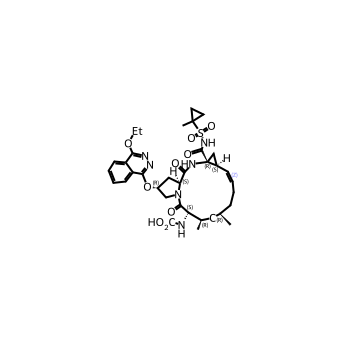 CCOc1nnc(O[C@@H]2C[C@H]3C(=O)N[C@]4(C(=O)NS(=O)(=O)C5(C)CC5)C[C@H]4/C=C\CC[C@@H](C)C[C@@H](C)[C@H](NC(=O)O)C(=O)N3C2)c2ccccc12